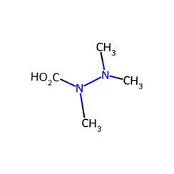 CN(C)N(C)C(=O)O